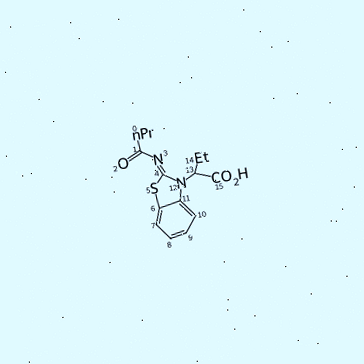 CCCC(=O)N=c1sc2ccccc2n1C(CC)C(=O)O